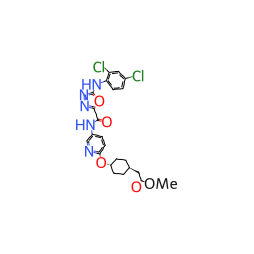 COC(=O)C[C@H]1CC[C@H](Oc2ccc(NC(=O)c3nnc(Nc4ccc(Cl)cc4Cl)o3)cn2)CC1